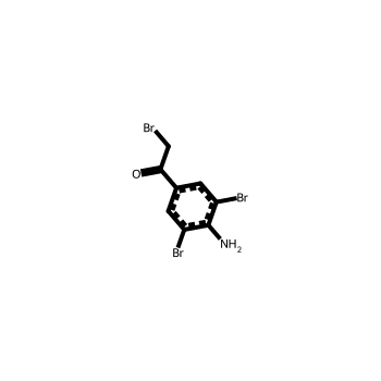 Nc1c(Br)cc(C(=O)CBr)cc1Br